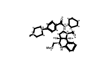 COC[C@@H]1Nc2ccccc2[C@H]2[C@H]1CCN2C(=O)[C@H]1CCCC[C@H]1NC(=O)c1ccc(N2CCN(C)CC2)cc1